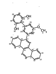 COc1nc(C2=CC3=C(C=CC4C=CC=CC34)C3C=CC=CC23)nc(-c2c(O)cccc2O)n1